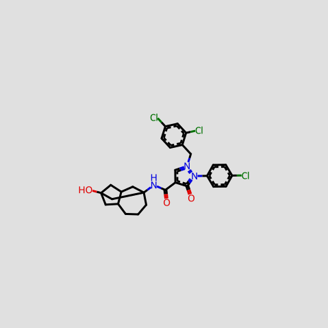 O=C(NC12CCCC3CC(O)(CC3C1)C2)c1cn(Cc2ccc(Cl)cc2Cl)n(-c2ccc(Cl)cc2)c1=O